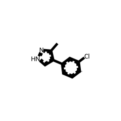 Cc1n[nH]cc1-c1cc[c]c(Cl)c1